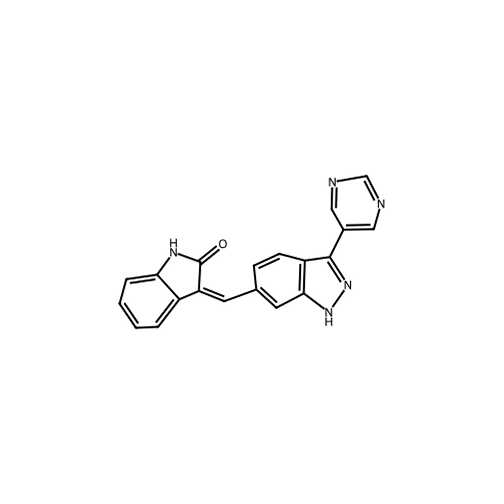 O=C1Nc2ccccc2C1=Cc1ccc2c(-c3cncnc3)n[nH]c2c1